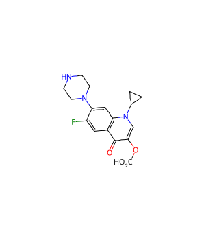 O=C(O)Oc1cn(C2CC2)c2cc(N3CCNCC3)c(F)cc2c1=O